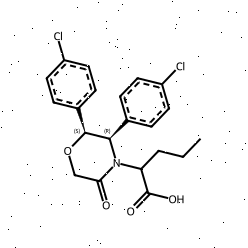 CCCC(C(=O)O)N1C(=O)CO[C@@H](c2ccc(Cl)cc2)[C@H]1c1ccc(Cl)cc1